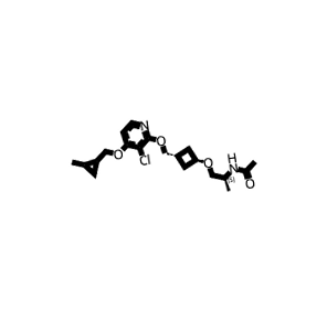 CC(=O)N[C@@H](C)CO[C@H]1C[C@H](COc2nccc(OCC3CC3C)c2Cl)C1